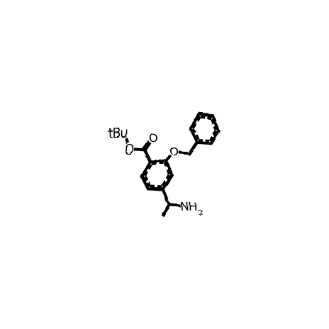 CC(N)c1ccc(C(=O)OC(C)(C)C)c(OCc2ccccc2)c1